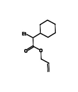 C=CCOC(=O)C(CC)C1CCCCC1